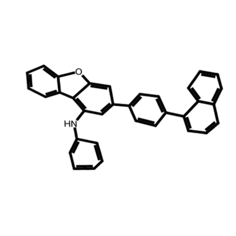 c1ccc(Nc2cc(-c3ccc(-c4cccc5ccccc45)cc3)cc3oc4ccccc4c23)cc1